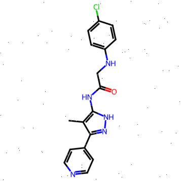 Cc1c(-c2ccncc2)n[nH]c1NC(=O)CNc1ccc(Cl)cc1